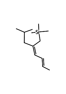 C/C=C/C=C(/CC(C)C)C[Si](C)(C)C